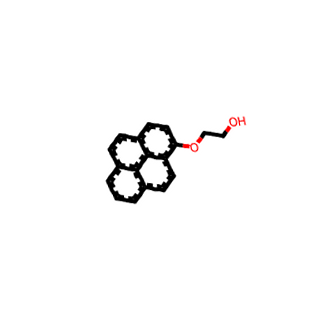 OCCOc1ccc2ccc3cccc4ccc1c2c34